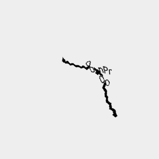 C=CCCCCCCCCC(=O)OCC(C)(CCC)COC(=O)CCCCCCCCC=C